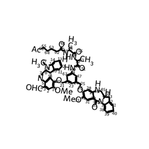 COc1cc(C=O)c(/N=C\C2Cc3ccccc3N2C)cc1OCc1cc(COc2cc3c(cc2OC)C(=O)N2c4ccccc4C[C@H]2CN3)cc(NC(=O)C(C)NC(=O)[C@H](C)NC(=O)CCCCC(C)=O)c1